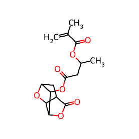 C=C(C)C(=O)OC(C)CC(=O)OC1C2CC3C(=O)OC1C3O2